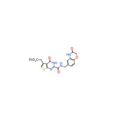 CCOC(=O)Cc1csc2nc(C(=O)NCc3ccc4c(c3)NC(=O)CO4)[nH]c(=O)c12